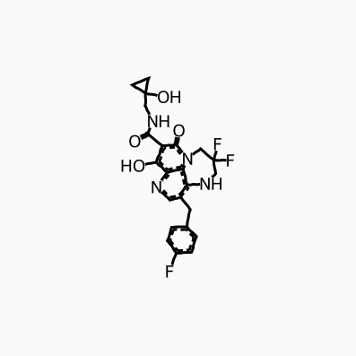 O=C(NCC1(O)CC1)c1c(O)c2ncc(Cc3ccc(F)cc3)c3c2n(c1=O)CC(F)(F)CN3